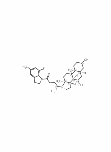 Cc1cc(F)c2c(c1)CCN2C(=O)CC[C@@H](C)[C@H]1CC[C@H]2[C@@H]3[C@H](O)C[C@@H]4C[C@H](O)CC[C@]4(C)[C@H]3CC[C@]12C